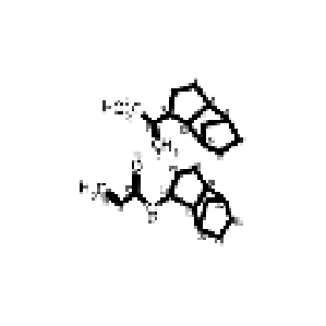 C=C(C(=O)O)C1CCC2C3CCC(C3)C12.C=CC(=O)OC1CCC2C3CCC(C3)C12